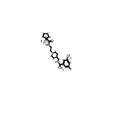 C=C(NCC1CCN(CCNC(=O)C2(C(F)(F)F)CCCC2)CC1)c1cc(F)cc(C(F)(F)F)c1